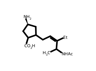 CCC(=CCC1C[C@H](N)CC1C(=O)O)C(C)NC(C)=O